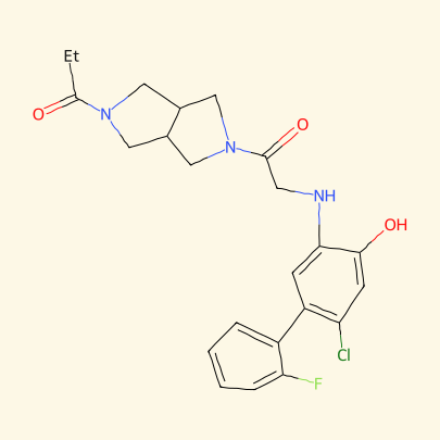 CCC(=O)N1CC2CN(C(=O)CNc3cc(-c4ccccc4F)c(Cl)cc3O)CC2C1